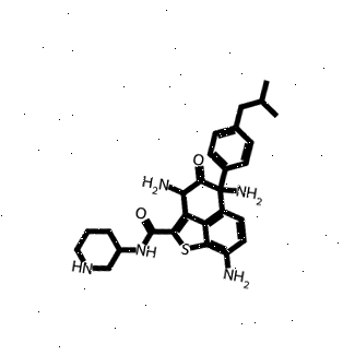 CC(C)Cc1ccc(C2(N)C(=O)C(N)c3c(C(=O)NC4CCCNC4)sc4c(N)ccc2c34)cc1